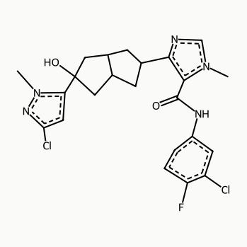 Cn1cnc(C2CC3CC(O)(c4cc(Cl)nn4C)CC3C2)c1C(=O)Nc1ccc(F)c(Cl)c1